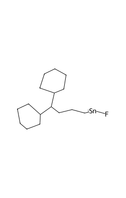 [F][Sn][CH2]CCC(C1CCCCC1)C1CCCCC1